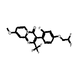 COc1ccn2c(=O)c(-c3ccc(OCC(F)F)cc3F)c(C(F)(F)F)nc2c1